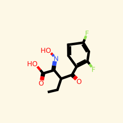 CCC(C(=O)c1ccc(F)cc1F)C(=NO)C(=O)O